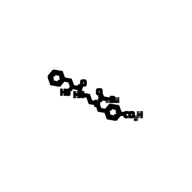 CCCCC(=O)N(CCNC(=O)[C@@H](S)Cc1ccccc1)Cc1ccc(C(=O)O)cc1